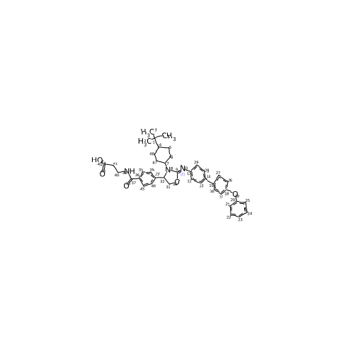 CC(C)(C)C1CCC(N2/C(=N/c3ccc(-c4ccc(Oc5ccccc5)cc4)cc3)OCC2c2ccc(C(=O)NCCC(=O)O)cc2)CC1